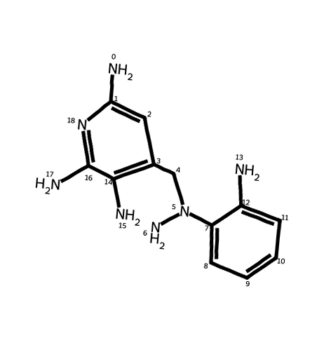 Nc1cc(CN(N)c2ccccc2N)c(N)c(N)n1